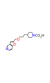 O=C(O)N1CCC(CCCOCc2cc3cnccc3o2)CC1